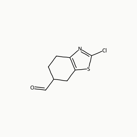 O=CC1CCc2nc(Cl)sc2C1